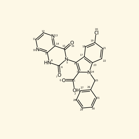 O=C(O)c1c(-n2c(=O)[nH]c3nccnc3c2=O)c2cc(Cl)ccc2n1Cc1ccccc1